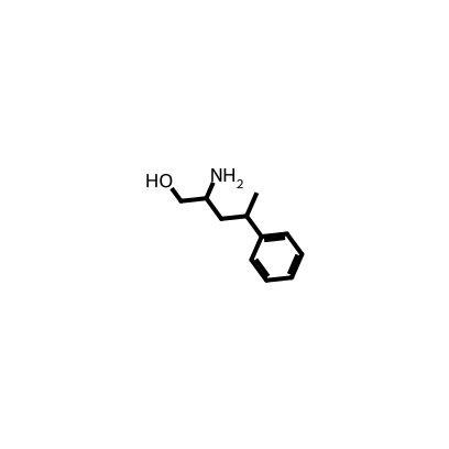 CC(CC(N)CO)c1ccccc1